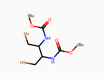 CC(C)(C)OC(=O)NC(CS)C(CS)NC(=O)OC(C)(C)C